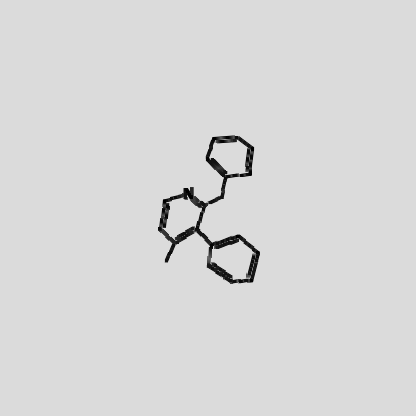 Cc1ccnc(Cc2ccccc2)c1-c1ccccc1